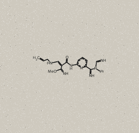 C=CCN/C=C(\C(=N)OC)C(=O)Nc1cccc(C(=N)N(C=N)C(C)C)n1